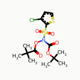 CC(C)(C)OC(=O)N(OC(=O)C(C)(C)C)S(=O)(=O)c1sccc1Cl